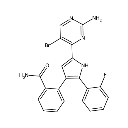 NC(=O)c1ccccc1-c1cc(-c2nc(N)ncc2Br)[nH]c1-c1ccccc1F